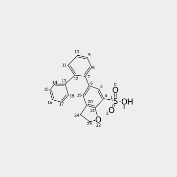 O=S(=O)(O)c1cc(-c2ccccc2-c2ccccc2)cc2c1OCC2